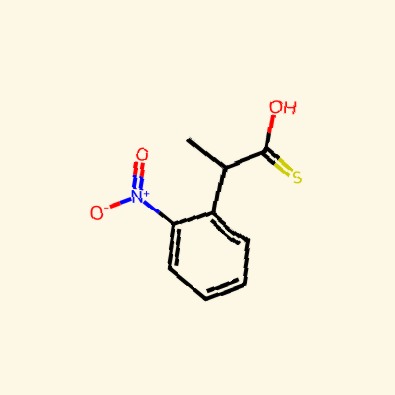 CC(C(O)=S)c1ccccc1[N+](=O)[O-]